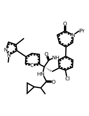 Cc1cnn(C)c1-c1ccc([C@](Cc2cc(-c3ccc(=O)n(C(C)C)c3)ccc2Cl)(NC(=O)C(C)C2CC2)C(N)=O)cc1